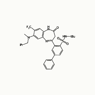 CC(C)CN(C)c1cc2c(cc1C(F)(F)F)NC(=O)CC(c1cc(-c3ccccc3)ccc1S(=O)(=O)NC(C)(C)C)=N2